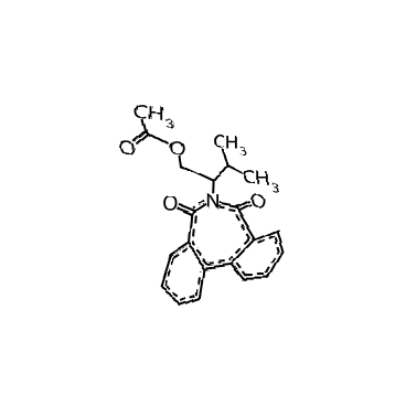 CC(=O)OCC(C(C)C)n1c(=O)c2ccccc2c2ccccc2c1=O